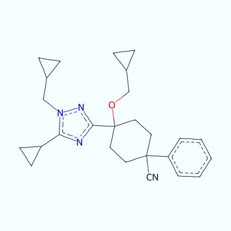 N#CC1(c2ccccc2)CCC(OCC2CC2)(c2nc(C3CC3)n(CC3CC3)n2)CC1